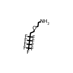 NCCOCCC(F)(F)C(F)(F)C(F)(F)C(F)(F)F